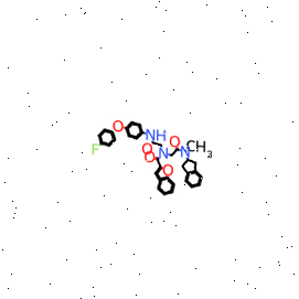 CN(C(=O)CN(CC(=O)Nc1ccc(Oc2ccc(F)cc2)cc1)C(=O)c1cc2ccccc2o1)C1Cc2ccccc2C1